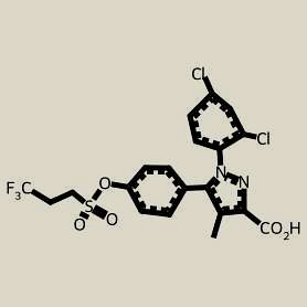 Cc1c(C(=O)O)nn(-c2ccc(Cl)cc2Cl)c1-c1ccc(OS(=O)(=O)CCC(F)(F)F)cc1